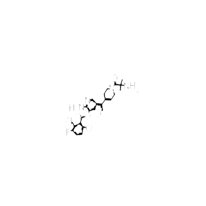 C[C@@H](Oc1c(N)ncc2c(C3=CCN(C(=O)C(C)(C)N)CC3)coc12)c1c(Cl)ccc(F)c1Cl